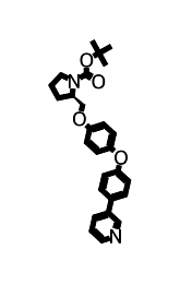 CC(C)(C)OC(=O)N1CCC[C@@H]1COc1ccc(Oc2ccc(-c3cccnc3)cc2)cc1